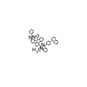 CN1c2ccccc2C(c2ccc(-c3cccc4ccccc34)cc2)=NC1c1cccc2c1-c1ccccc1C21c2ccccc2-n2c(-c3ccccc3)nc3cccc1c32